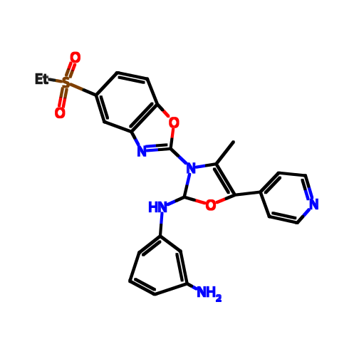 CCS(=O)(=O)c1ccc2oc(N3C(C)=C(c4ccncc4)OC3Nc3cccc(N)c3)nc2c1